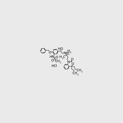 CCCC1(CCC)OC(=O)N(CCC(C)(C)NCC(O)c2ccc(OCc3ccccc3)c(NS(C)(=O)=O)c2)c2ccccc21.Cl